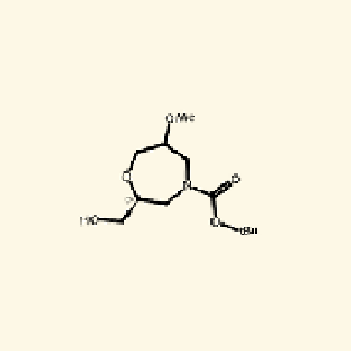 COC1CO[C@H](CO)CN(C(=O)OC(C)(C)C)C1